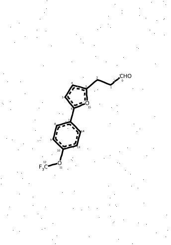 O=CCCc1ccc(-c2ccc(OC(F)(F)F)cc2)o1